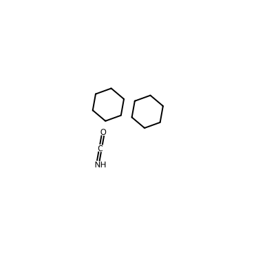 C1CCCCC1.C1CCCCC1.N=C=O